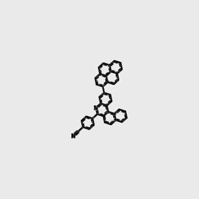 N#Cc1ccc(-c2nc3cc(-c4ccc5ccc6cccc7ccc4c5c67)ccc3c3c2ccc2ccccc23)cc1